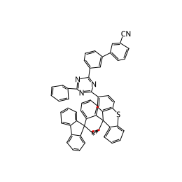 N#Cc1cccc(-c2cccc(-c3nc(-c4ccccc4)nc(-c4ccc5c(c4)C4(c6ccccc6S5)c5ccccc5C5(c6ccccc6-c6ccccc65)c5ccccc54)n3)c2)c1